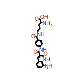 CNc1cccc2cc(C(=O)Nc3ccc(C(=O)NCCC[C@H](N)C(=O)O)cc3)c(=O)[nH]c12